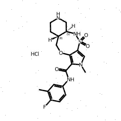 Cc1cc(NC(=O)c2c3c(cn2C)S(=O)(=O)N[C@@H]2CNCC[C@H]2CO3)ccc1F.Cl